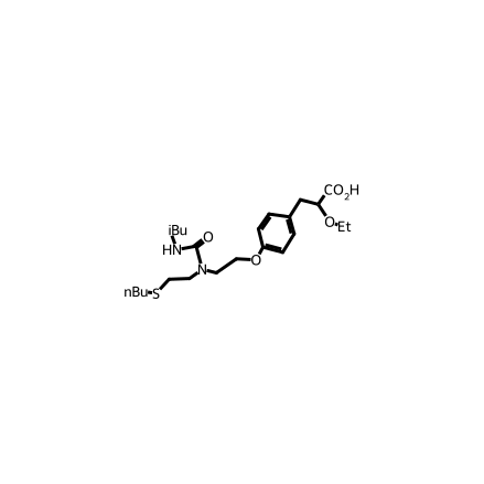 CCCCSCCN(CCOc1ccc(CC(OCC)C(=O)O)cc1)C(=O)NC(C)CC